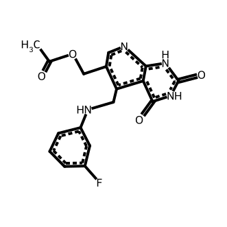 CC(=O)OCc1cnc2[nH]c(=O)[nH]c(=O)c2c1CNc1cccc(F)c1